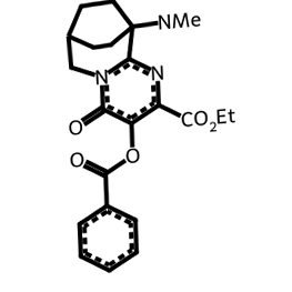 CCOC(=O)c1nc2n(c(=O)c1OC(=O)c1ccccc1)CC1CCC2(NC)CC1